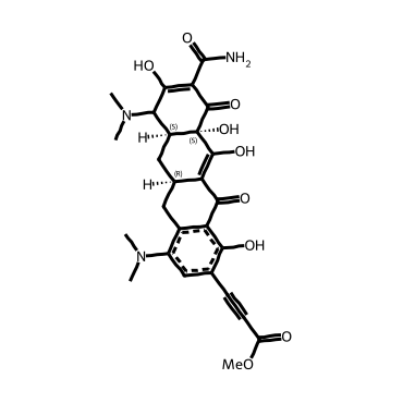 COC(=O)C#Cc1cc(N(C)C)c2c(c1O)C(=O)C1=C(O)[C@]3(O)C(=O)C(C(N)=O)=C(O)C(N(C)C)[C@@H]3C[C@@H]1C2